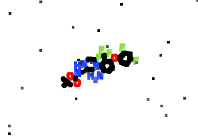 CN1CCN(c2c(N)ccc(Oc3ccc(F)cc3F)c2C(F)(F)F)C[C@@H]1CNC(=O)OC(C)(C)C